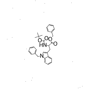 CC(C)(C)OC(=O)NC(Cc1cn(Cc2ccccc2)c2ccccc12)C(=O)OCc1ccccc1